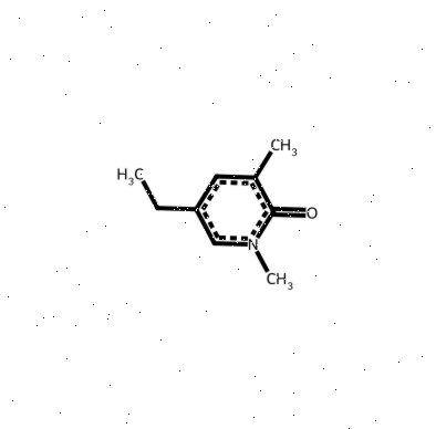 CCc1cc(C)c(=O)n(C)c1